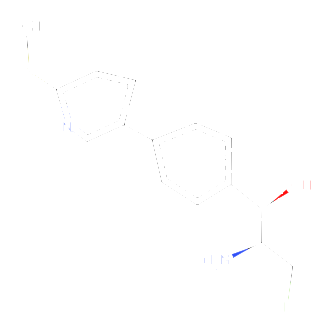 CSc1ccc(-c2ccc([C@@H](O)[C@H](N)CF)cc2)cn1